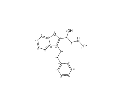 CC(C)NCC(O)c1oc2ccccc2c1CCc1ccccc1